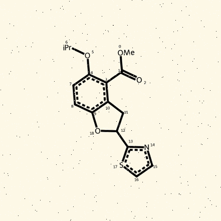 COC(=O)c1c(OC(C)C)ccc2c1CC(c1nccs1)O2